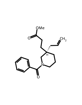 C=CC[C@]1(CCC(=O)OC)CCCN(C(=O)c2ccccc2)C1